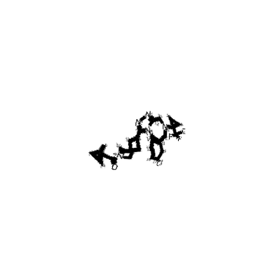 CC1(C(=O)N2CC3(CC(c4nnc5n4-c4ccc(Cl)cc4CN(C4(C(F)(F)F)CC4)C5)C3)C2)CC1